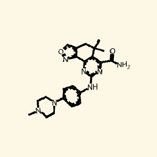 CN1CCN(c2ccc(Nc3nc(C(N)=O)c4c(n3)-c3nocc3CC4(C)C)cc2)CC1